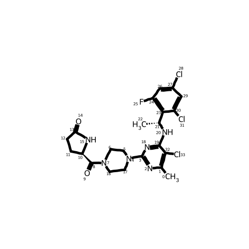 Cc1nc(N2CCN(C(=O)[C@H]3CCC(=O)N3)CC2)nc(N[C@H](C)c2c(F)cc(Cl)cc2Cl)c1Cl